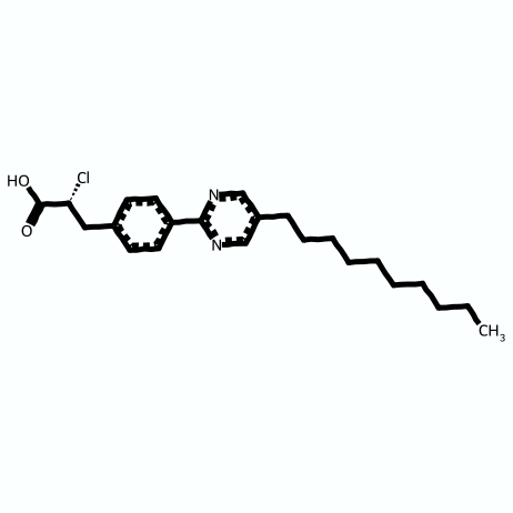 CCCCCCCCCCc1cnc(-c2ccc(C[C@@H](Cl)C(=O)O)cc2)nc1